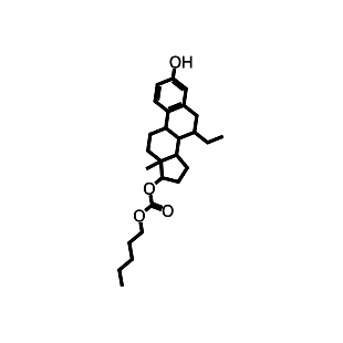 CCCCCOC(=O)OC1CCC2C3C(CC)Cc4cc(O)ccc4C3CCC12C